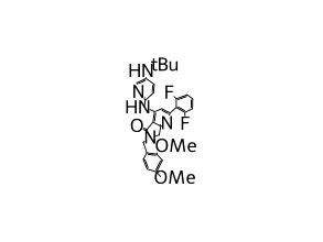 COc1ccc(CN2Cc3nc(-c4c(F)cccc4F)cc(Nc4ccc(NC(C)(C)C)cn4)c3C2=O)c(OC)c1